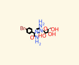 NC(=O)C(c1ccc(Br)cc1)N1C=C(N)N([C@@H]2O[C@H](CO)[C@@H](O)[C@H]2O)C1